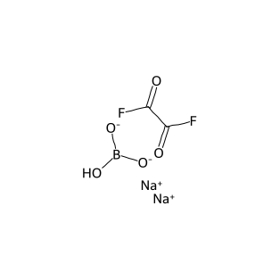 O=C(F)C(=O)F.[Na+].[Na+].[O-]B([O-])O